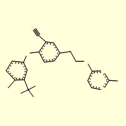 N#Cc1cc(CCOc2ccnc(Cl)n2)ccc1Oc1ccc(Cl)c(C(F)(F)F)c1